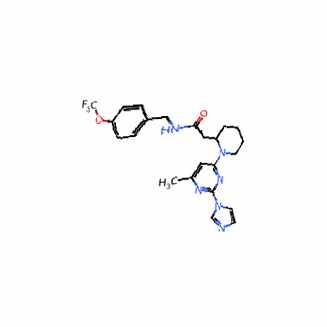 Cc1cc(N2CCCCC2CC(=O)NCc2ccc(OC(F)(F)F)cc2)nc(-n2ccnc2)n1